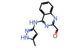 Cc1cc(Nc2nc(C=O)nc3ccccc23)n[nH]1